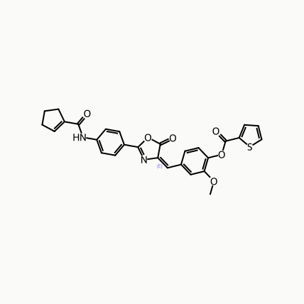 COc1cc(/C=C2/N=C(c3ccc(NC(=O)C4=CCCC4)cc3)OC2=O)ccc1OC(=O)c1cccs1